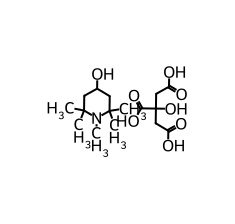 CN1C(C)(C)CC(O)CC1(C)C.O=C(O)CC(O)(CC(=O)O)C(=O)O